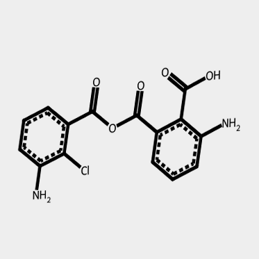 Nc1cccc(C(=O)OC(=O)c2cccc(N)c2C(=O)O)c1Cl